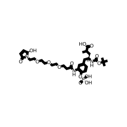 CC(C[C@H](Cc1ccc(OP(=O)(O)O)c(NC(=O)CCOCCOCCOCCN2C(=O)C=C[C@@H]2O)c1)NC(=O)OC(C)(C)C)C(=O)O